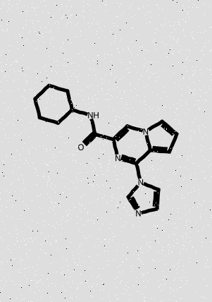 O=C(NC1CCCCC1)c1cn2cccc2c(-n2ccnc2)n1